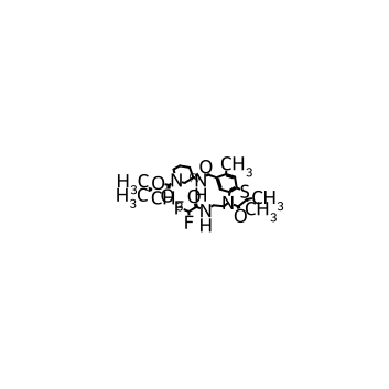 Cc1cc2c(cc1C(=O)N[C@@H]1CCCN(C(=O)OC(C)(C)C)C1)N(CCNC(=O)C(F)F)C(=O)C(C)(C)S2